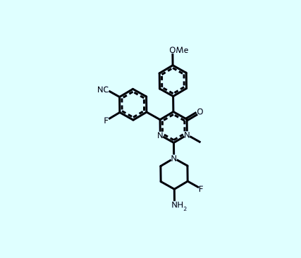 COc1ccc(-c2c(-c3ccc(C#N)c(F)c3)nc(N3CCC(N)C(F)C3)n(C)c2=O)cc1